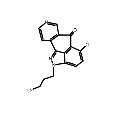 NCCCn1nc2c3c(c(Cl)ccc31)C(=O)c1cnccc1-2